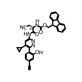 C#Cc1ccc(-c2nnc(NC(=O)[C@@H](CC#N)NC(=O)OCC3c4ccccc4-c4ccccc43)cc2C2CC2)c(O)c1